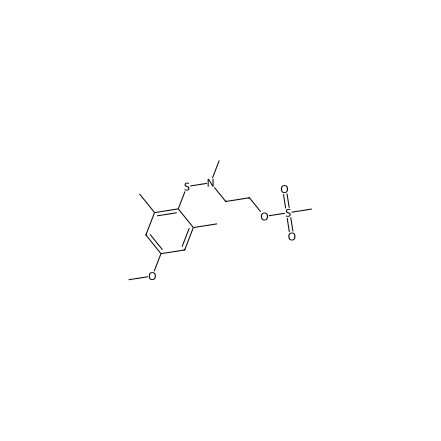 COc1cc(C)c(SN(C)CCOS(C)(=O)=O)c(C)c1